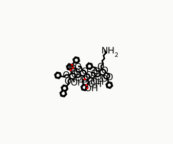 COC(OC1C2OC(c3ccccc3)OCC2OC(OCCCCCN)C1OCc1ccccc1)C(O)C(OC1OC(CO)C(OCc2ccccc2)C(OC2OC(COCc3ccccc3)C(OCc3ccccc3)C(OCc3ccc4ccccc4c3)C2O)C1OCc1ccccc1)C(C)[C@H](O)CO